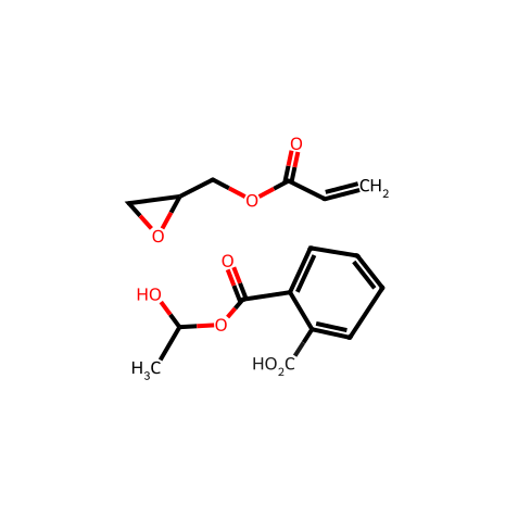 C=CC(=O)OCC1CO1.CC(O)OC(=O)c1ccccc1C(=O)O